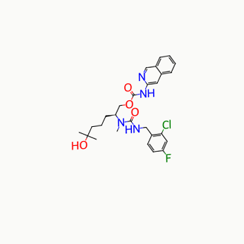 CN(C(=O)NCc1ccc(F)cc1Cl)[C@@H](CCCC(C)(C)O)COC(=O)Nc1cc2ccccc2cn1